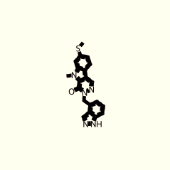 CSc1ccc2c3cnn(Cc4cccc5[nH]ncc45)c(=O)c3n(C)c2c1